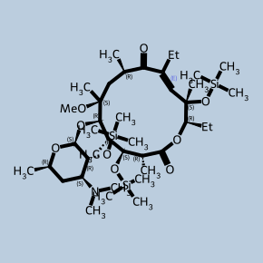 CC/C1=C\[C@](C)(O[Si](C)(C)C)[C@@H](CC)OC(=O)[C@H](C)[C@@H](O[Si](C)(C)C)[C@H](C)[C@@H](O[C@@H]2O[C@H](C)C[C@H](N(C)C)[C@H]2O[Si](C)(C)C)[C@@](C)(OC)C[C@@H](C)C1=O